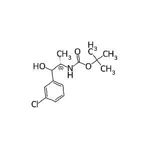 C[C@H](NC(=O)OC(C)(C)C)C(O)c1cccc(Cl)c1